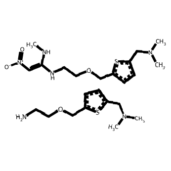 CN(C)Cc1ccc(COCCN)s1.CNC(=C[N+](=O)[O-])NCCOCc1ccc(CN(C)C)s1